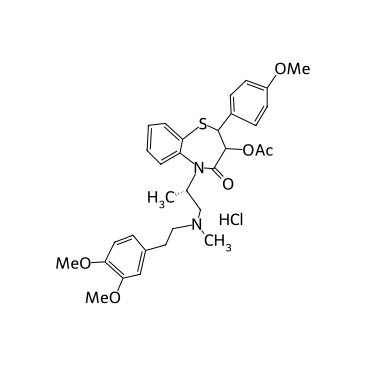 COc1ccc(C2Sc3ccccc3N([C@@H](C)CN(C)CCc3ccc(OC)c(OC)c3)C(=O)C2OC(C)=O)cc1.Cl